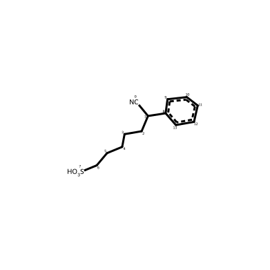 N#CC(CCCCCS(=O)(=O)O)c1ccccc1